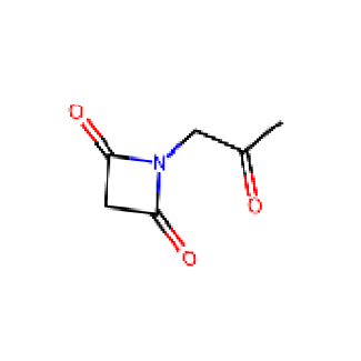 CC(=O)CN1C(=O)CC1=O